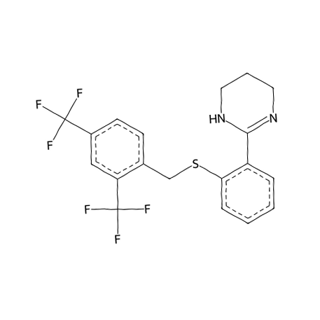 FC(F)(F)c1ccc(CSc2ccccc2C2=NCCCN2)c(C(F)(F)F)c1